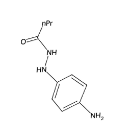 CCCC(=O)NNc1ccc(N)cc1